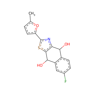 Cc1ccc(-c2nc3c(s2)C(O)c2cc(F)ccc2C3O)o1